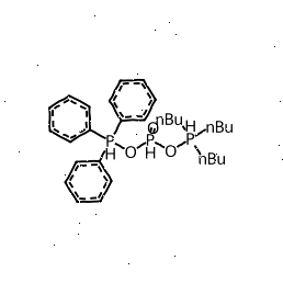 CCCC[PH](CCCC)(CCCC)O[PH](=O)O[PH](c1ccccc1)(c1ccccc1)c1ccccc1